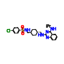 CC(C)Nc1nc(NC[C@H]2CC[C@H](CNS(=O)(=O)c3ccc(Cl)cc3)CC2)nc2ccccc12